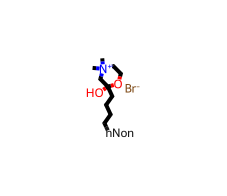 CCCCCCCCCCCCCC1(O)C[N+](C)(C)CCO1.[Br-]